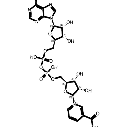 NC(=O)c1ccc[n+]([C@H]2O[C@@H](COP(=O)(O)OP(=O)(O)OC[C@H]3O[C@@H](n4cnc5c(N)ncnc54)[C@H](O)[C@@H]3O)[C@H](O)[C@@H]2O)c1